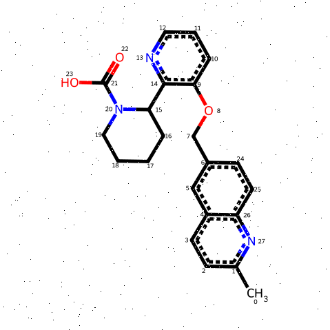 Cc1ccc2cc(COc3cccnc3C3CCCCN3C(=O)O)ccc2n1